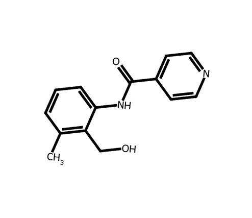 Cc1cccc(NC(=O)c2ccncc2)c1CO